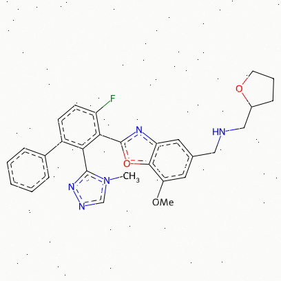 COc1cc(CNCC2CCCO2)cc2nc(-c3c(F)ccc(-c4ccccc4)c3-c3nncn3C)oc12